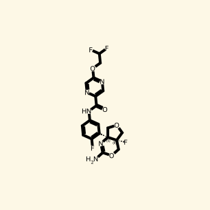 NC1=N[C@@]2(c3cc(NC(=O)c4cnc(OCC(F)F)cn4)ccc3F)COC[C@@]2(F)CO1